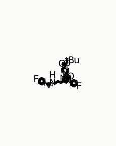 CC(C)(C)OC(=O)N1CCN(c2nc(CCCN[C@@H]3C[C@H]3c3ccc(F)cc3)cn(-c3ccc(F)cc3)c2=O)CC1